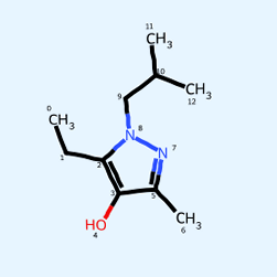 CCc1c(O)c(C)nn1CC(C)C